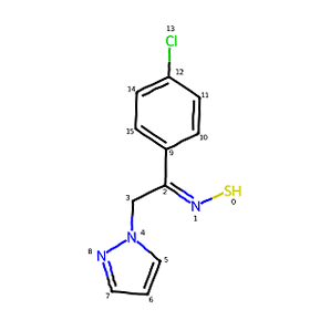 S/N=C(/Cn1cccn1)c1ccc(Cl)cc1